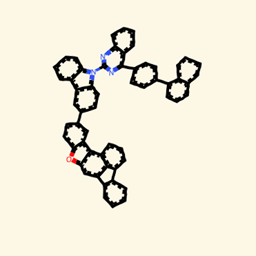 c1ccc2c(c1)-c1cccc3c1c-2cc1oc2ccc(-c4ccc5c(c4)c4ccccc4n5-c4nc(-c5ccc(-c6cccc7ccccc67)cc5)c5ccccc5n4)cc2c13